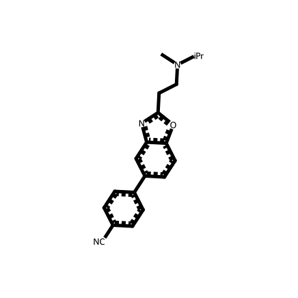 CC(C)N(C)CCc1nc2cc(-c3ccc(C#N)cc3)ccc2o1